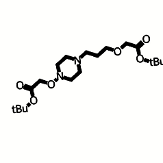 CC(C)(C)OC(=O)COCCCN1CCN(OCC(=O)OC(C)(C)C)CC1